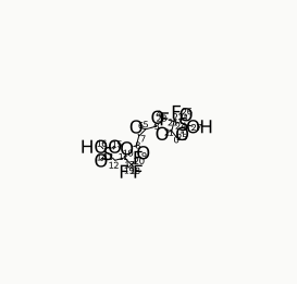 CC(OC(=O)C1OC1C(=O)OC(CS(=O)(=O)O)C(F)(F)F)C(F)(F)S(=O)(=O)O